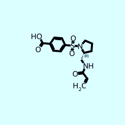 C=CC(=O)NC[C@H]1CCCN1S(=O)(=O)c1ccc(C(=O)O)cc1